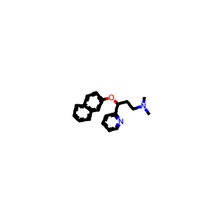 CN(C)CCC(Oc1ccc2ccccc2c1)c1ccccn1